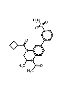 CC(=O)N1c2ccc(-c3cccc(S(N)(=O)=O)c3)cc2N(C(=O)C2CCC2)CC1C